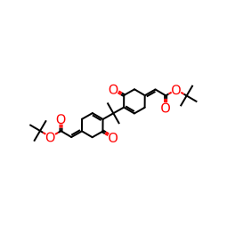 CC(C)(C)OC(=O)C=C1CC=C(C(C)(C)C2=CCC(=CC(=O)OC(C)(C)C)CC2=O)C(=O)C1